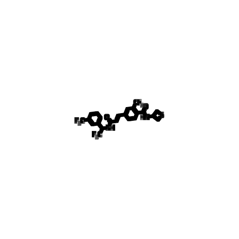 O=C(/C=C/c1ccc(C(=O)NC2CSC2)c(C(F)(F)F)c1)NC(c1cccc(C(F)(F)F)c1)C(F)(F)F